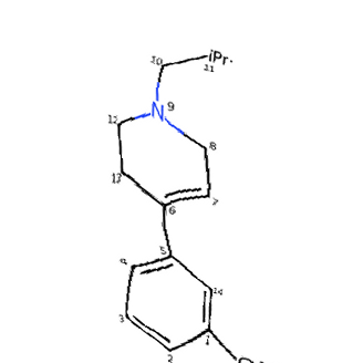 COc1cccc(C2=CCN(C[C](C)C)CC2)c1